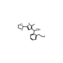 Cc1sc(C2OCCO2)cc1C(O)c1ccccc1CCI